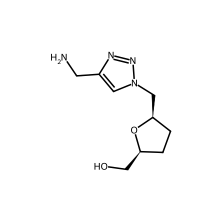 NCc1cn(C[C@H]2CC[C@@H](CO)O2)nn1